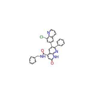 O=C(NCc1ccccc1)c1cc(=O)[nH]c2nc(-c3ccccc3)c(-c3cc(Cl)c4ncccc4c3)cc12